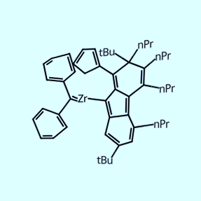 CCCC1=C(CCC)C(CCC)(C(C)(C)C)C(C2=CC=CC2)=C2[C]([Zr]=[C](c3ccccc3)c3ccccc3)=c3cc(C(C)(C)C)cc(CCC)c3=C12